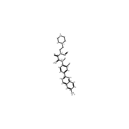 C=NN(CCN1CCOCC1)C(=C)C(=O)N(C)c1ccc(-c2ncc3cc(C(F)(F)F)ccc3n2)cc1C